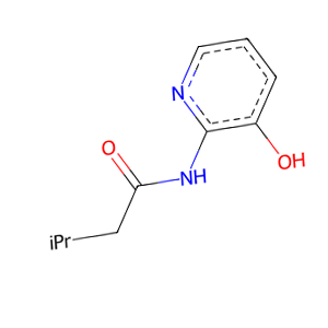 CC(C)CC(=O)Nc1ncccc1O